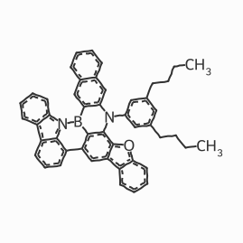 CCCCc1cc(CCCC)cc(N2c3cc4ccccc4cc3B3c4c(cc5c(oc6ccccc65)c42)-c2cccc4c5ccccc5n3c24)c1